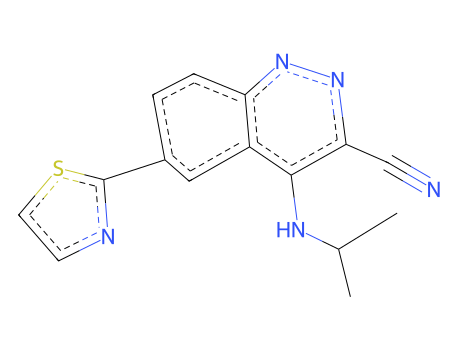 CC(C)Nc1c(C#N)nnc2ccc(-c3nccs3)cc12